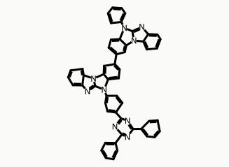 c1ccc(-c2nc(-c3ccccc3)nc(-c3ccc(-n4c5ccc(-c6ccc7c(c6)n6c8ccccc8nc6n7-c6ccccc6)cc5n5c6ccccc6nc45)cc3)n2)cc1